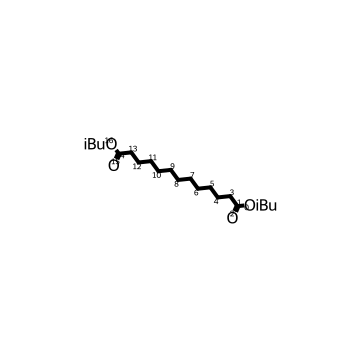 CC(C)COC(=O)CCCCCCCCCCCC(=O)OCC(C)C